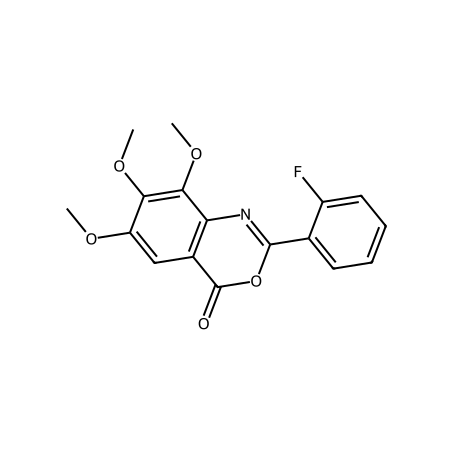 COc1cc2c(=O)oc(-c3ccccc3F)nc2c(OC)c1OC